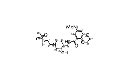 CNc1cc2c(c(C(=O)NC[C@@H]3CCN(CCNS(C)(=O)=O)C[C@H]3O)c1)OCCO2